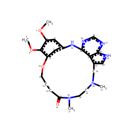 COc1cc2cc(c1OC)OCCCC(=O)N(C)CCN(C)Cc1c[nH]c3ncnc(c13)N2